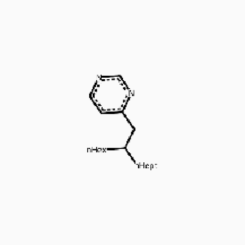 CCCCCCCC(CCCCCC)Cc1ccncn1